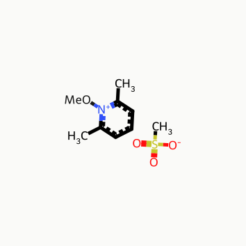 CO[n+]1c(C)cccc1C.CS(=O)(=O)[O-]